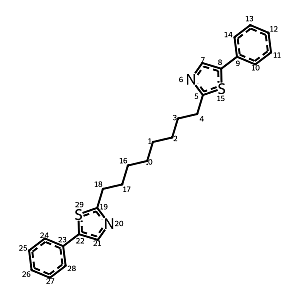 [CH](CCCCc1ncc(-c2ccccc2)s1)CCCc1ncc(-c2ccccc2)s1